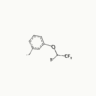 [CH2]c1cccc(OC(F)C(F)(F)F)c1